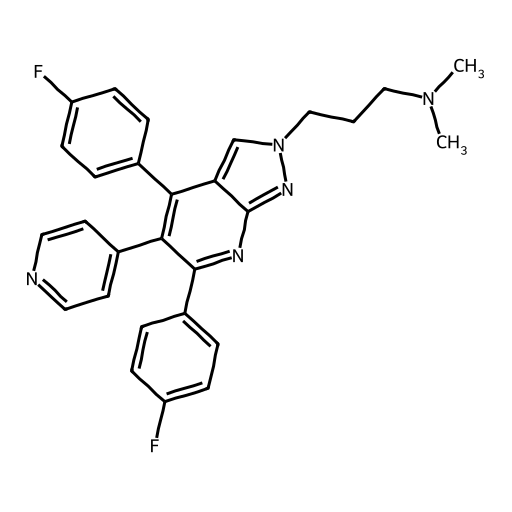 CN(C)CCCn1cc2c(-c3ccc(F)cc3)c(-c3ccncc3)c(-c3ccc(F)cc3)nc2n1